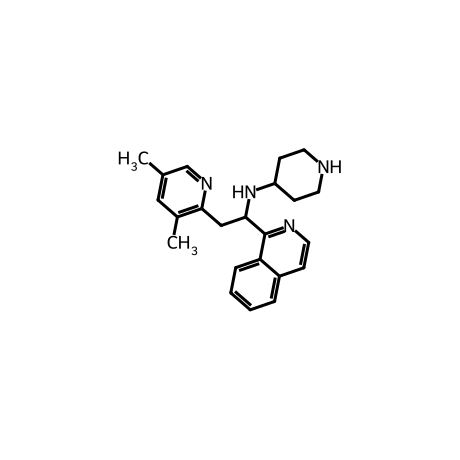 Cc1cnc(CC(NC2CCNCC2)c2nccc3ccccc23)c(C)c1